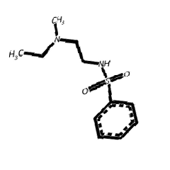 CCN(C)CCNS(=O)(=O)c1ccccc1